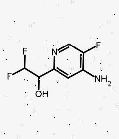 Nc1cc(C(O)C(F)F)ncc1F